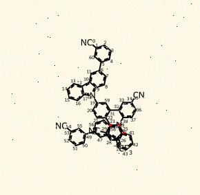 N#Cc1cccc(-c2ccc3c(c2)c2ccccc2n3-c2ccc(-c3ccc(C(F)(F)F)cc3C#N)c(-c3cc(C#N)ccc3-n3c4ccccc4c4cc(-c5cccc(C#N)c5)ccc43)c2)c1